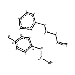 C=CCOCc1ccccc1.CCCOCc1ccc(C)cc1